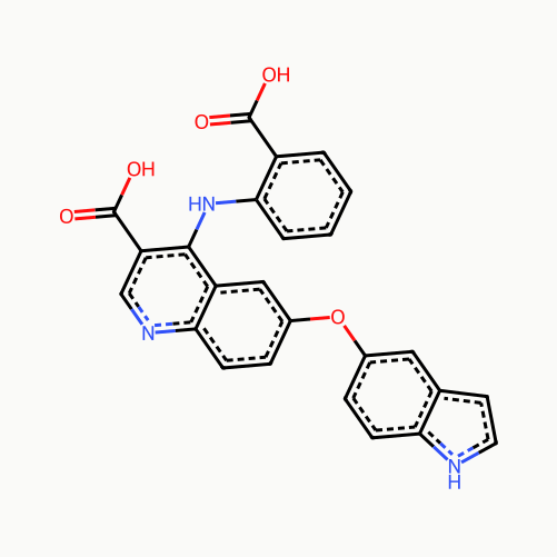 O=C(O)c1ccccc1Nc1c(C(=O)O)cnc2ccc(Oc3ccc4[nH]ccc4c3)cc12